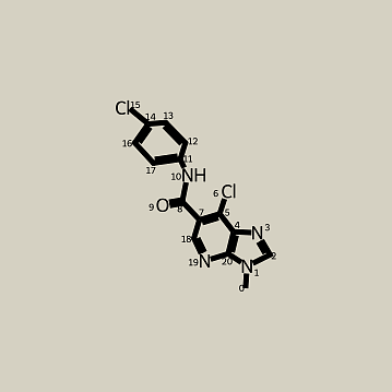 Cn1cnc2c(Cl)c(C(=O)Nc3ccc(Cl)cc3)cnc21